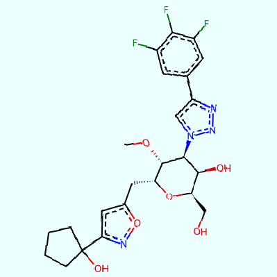 CO[C@@H]1[C@@H](n2cc(-c3cc(F)c(F)c(F)c3)nn2)[C@@H](O)[C@@H](CO)O[C@@H]1Cc1cc(C2(O)CCCC2)no1